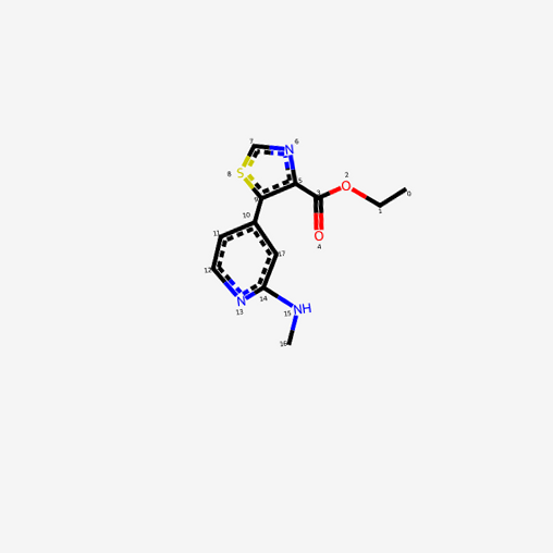 CCOC(=O)c1ncsc1-c1ccnc(NC)c1